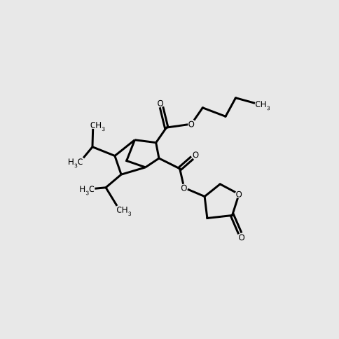 CCCCOC(=O)C1C2CC(C1C(=O)OC1COC(=O)C1)C(C(C)C)C2C(C)C